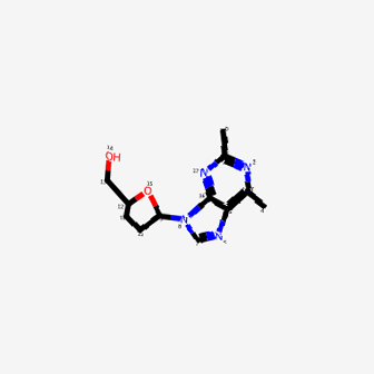 Cc1nc(C)c2ncn(C3CCC(CO)O3)c2n1